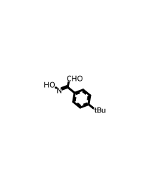 CC(C)(C)c1ccc(C(C=O)=NO)cc1